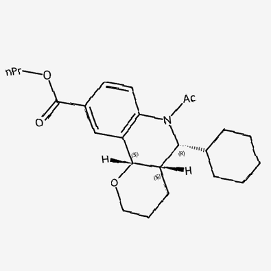 CCCOC(=O)c1ccc2c(c1)[C@H]1OCCC[C@H]1[C@@H](C1CCCCC1)N2C(C)=O